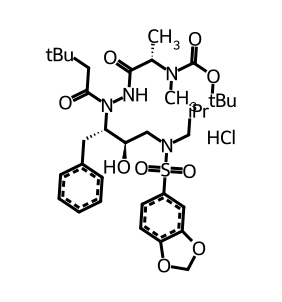 CC(C)CN(C[C@@H](O)[C@H](Cc1ccccc1)N(NC(=O)[C@H](C)N(C)C(=O)OC(C)(C)C)C(=O)CC(C)(C)C)S(=O)(=O)c1ccc2c(c1)OCO2.Cl